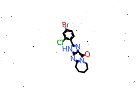 O=c1c2nc(-c3ccc(Br)cc3Cl)[nH]c2nc2n1CCCCC2